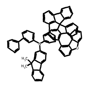 CC1(C)c2ccccc2-c2ccc(N(c3cccc(-c4ccccc4)c3)c3cccc(-c4cccc5c4C4(c6ccccc6-5)c5ccccc5-c5c(-c6cccc7oc8ccccc8c67)cccc54)c3)cc21